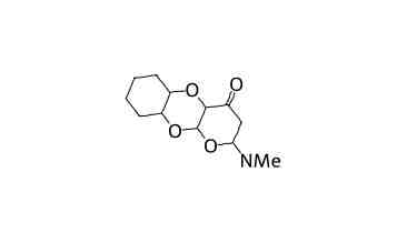 CNC1CC(=O)C2OC3CCCCC3OC2O1